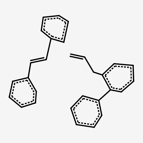 C(=Cc1ccccc1)c1ccccc1.C=CCc1ccccc1-c1ccccc1